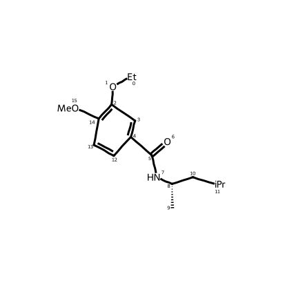 CCOc1cc(C(=O)N[C@@H](C)CC(C)C)ccc1OC